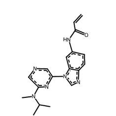 C=CC(=O)Nc1ccc2ncn(-c3cncc(N(C)C(C)C)n3)c2c1